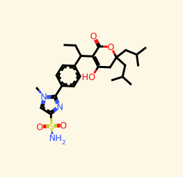 CCC(C1=C(O)CC(CC(C)C)(CC(C)C)OC1=O)c1ccc(-c2nc(S(N)(=O)=O)cn2C)cc1